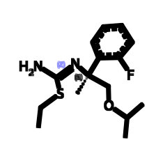 CCS/C(N)=N\[C@](C)(COC(C)C)c1ccccc1F